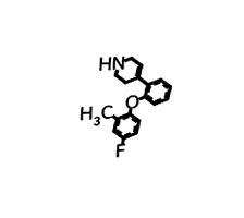 Cc1cc(F)ccc1Oc1ccccc1C1=CCNCC1